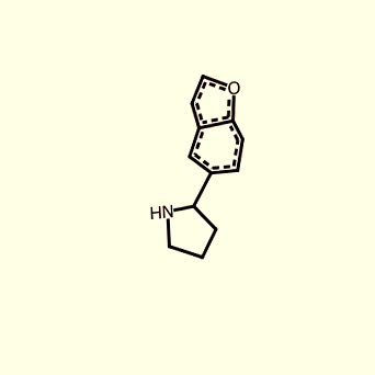 c1cc2cc(C3CCCN3)ccc2o1